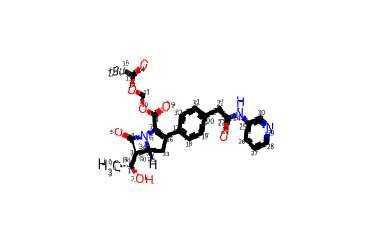 C[C@@H](O)[C@H]1C(=O)N2C(C(=O)OCOC(=O)C(C)(C)C)=C(c3ccc(CC(=O)Nc4cccnc4)cc3)C[C@H]12